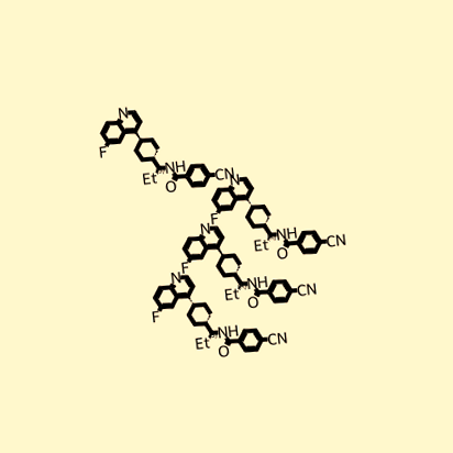 CC[C@@H](NC(=O)c1ccc(C#N)cc1)[C@H]1CC[C@@H](c2ccnc3ccc(F)cc32)CC1.CC[C@@H](NC(=O)c1ccc(C#N)cc1)[C@H]1CC[C@H](c2ccnc3ccc(F)cc32)CC1.CC[C@H](NC(=O)c1ccc(C#N)cc1)[C@H]1CC[C@@H](c2ccnc3ccc(F)cc32)CC1.CC[C@H](NC(=O)c1ccc(C#N)cc1)[C@H]1CC[C@H](c2ccnc3ccc(F)cc32)CC1